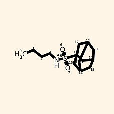 CCCCNS(=O)(=O)C12CC3CC(CC(C3)C1)C2